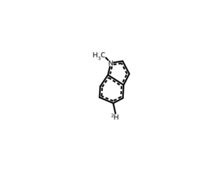 [2H]c1ccc2c(ccn2C)c1